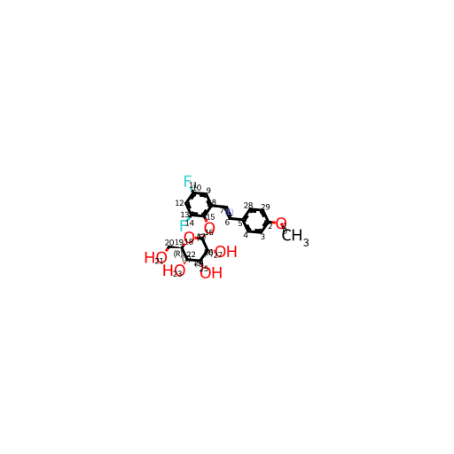 COc1ccc(/C=C/c2cc(F)cc(F)c2O[C@@H]2O[C@H](CO)[C@@H](O)[C@H](O)[C@H]2O)cc1